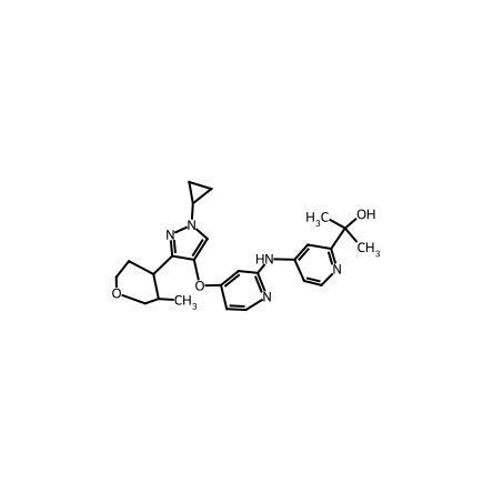 CC1COCCC1c1nn(C2CC2)cc1Oc1ccnc(Nc2ccnc(C(C)(C)O)c2)c1